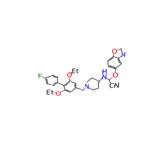 CCOc1cc(CN2CCC(NC(C#N)Oc3ccc4ocnc4c3)CC2)cc(OCC)c1-c1ccc(F)cc1